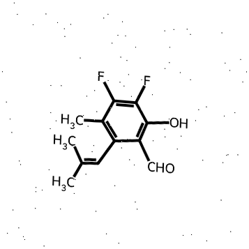 CC(C)=Cc1c(C)c(F)c(F)c(O)c1C=O